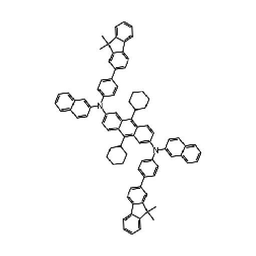 CC1(C)c2ccccc2-c2ccc(-c3ccc(N(c4ccc5ccccc5c4)c4ccc5c(C6CCCCC6)c6cc(N(c7ccc(-c8ccc9c(c8)C(C)(C)c8ccccc8-9)cc7)c7ccc8ccccc8c7)ccc6c(C6CCCCC6)c5c4)cc3)cc21